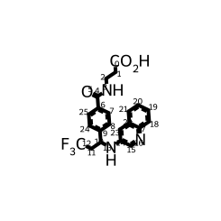 O=C(O)CCNC(=O)c1ccc(C(CC(F)(F)F)Nc2cnc3ccccc3c2)cc1